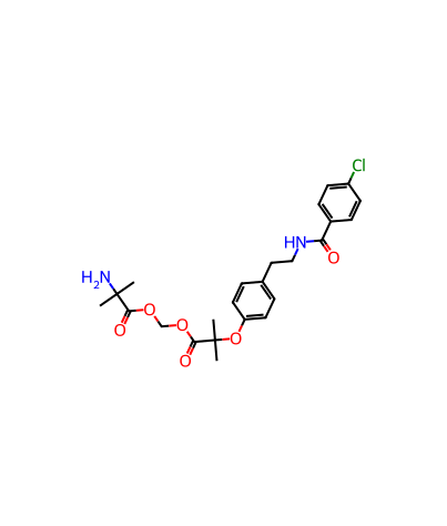 CC(C)(N)C(=O)OCOC(=O)C(C)(C)Oc1ccc(CCNC(=O)c2ccc(Cl)cc2)cc1